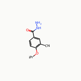 CC(C)Oc1ccc(C(=O)NN)cc1C#N